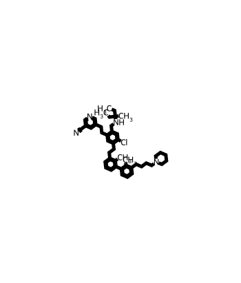 CCC(C)(CC)NCc1cc(Cl)c(CCc2cccc(-c3cccc(CCCCN4CCCCC4)c3C)c2C)cc1CCc1cncc(C#N)c1